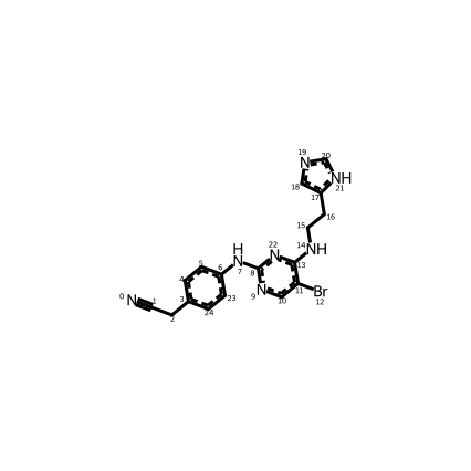 N#CCc1ccc(Nc2ncc(Br)c(NCCc3cnc[nH]3)n2)cc1